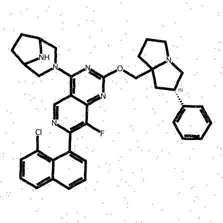 Fc1c(-c2cccc3cccc(Cl)c23)ncc2c(N3CC4CCC(C3)N4)nc(OCC34CCCN3C[C@H](c3ccccc3)C4)nc12